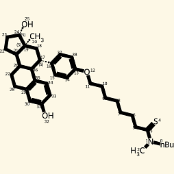 CCCCN(C)C(=S)CCCCCCCOc1ccc([C@H]2C[C@@]3(C)C(CC[C@@H]3O)C3CCc4cc(O)ccc4C32)cc1